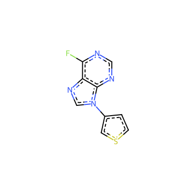 Fc1ncnc2c1ncn2-c1ccsc1